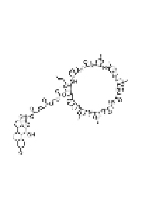 C/C=C/C[C@@H](C)C(OC(=O)OCOC(=O)COCC(=O)OCC(=O)[C@@]1(O)CCC2C3CCC4=CC(=O)C=C[C@]4(C)C3[C@@H](O)C[C@@]21C)C1C(=O)NC(CC)C(=O)N(C)CC(=O)N(C)[C@@H](CC(C)C)C(=O)NC(C(C)C)C(=O)N(C)C(CC(C)C)C(=O)NC(C)C(=O)NC(C)C(=O)N(C)C(CC(C)C)C(=O)N(C)C(CC(C)C)C(=O)N(C)C(C(C)C)C(=O)N1C